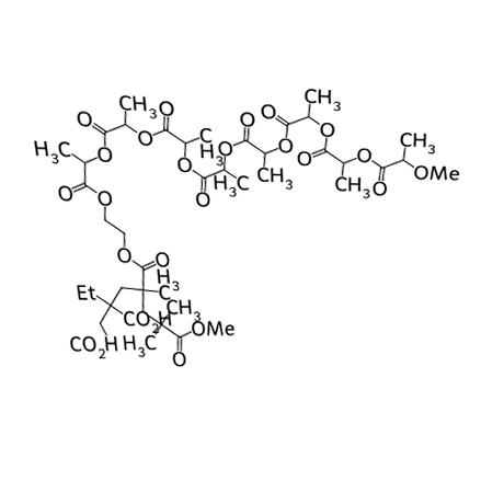 CCC(CC(=O)O)(CC(C)(CC(C)(C)C(=O)OC)C(=O)OCCOC(=O)C(C)OC(=O)C(C)OC(=O)C(C)OC(=O)C(C)OC(=O)C(C)OC(=O)C(C)OC(=O)C(C)OC(=O)C(C)OC)C(=O)O